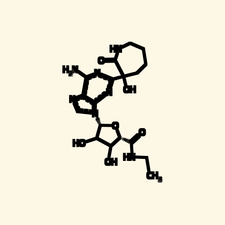 CCNC(=O)[C@H]1O[C@@H](n2cnc3c(N)nc(C4(O)CCCCNC4=O)nc32)C(O)C1O